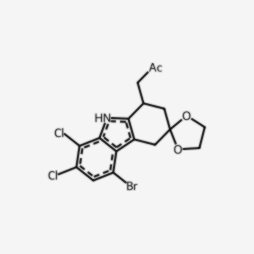 CC(=O)CC1CC2(Cc3c1[nH]c1c(Cl)c(Cl)cc(Br)c31)OCCO2